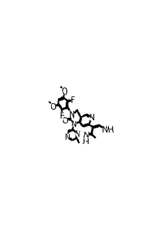 CN/C=C(\C(C)=N)c1cc2c(cn1)CN(c1c(F)c(OC)cc(OC)c1F)C(=O)N2c1cncc(C)n1